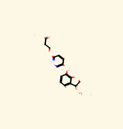 C[C@H](O)CCOc1ccc(Oc2cccc3c2OC[C@H]3OC(C)(C)C)cn1